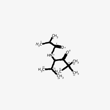 CC(C)C(=O)NC(C(=O)C(C)(C)C)C(C)C